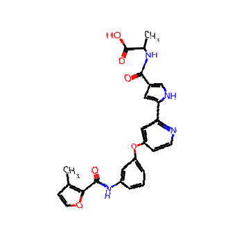 Cc1ccoc1C(=O)Nc1cccc(Oc2ccnc(-c3cc(C(=O)NC(C)C(=O)O)c[nH]3)c2)c1